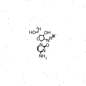 [2H]C(O)[C@H]1O[C@@H](n2ccc(N)nc2=O)[C@H](N=[N+]=[N-])[C@@H]1O